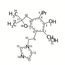 Cc1c(O)c(C(C)C)c2c(c1CCn1ccnc1)OC(C)(C)C2.Cl